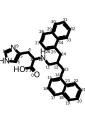 O=C(O)C(Cc1c[nH]cn1)NCC(Cc1cccc2ccccc12)Cc1cccc2ccccc12